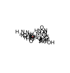 Nc1nc2c(ncn2[C@@H]2S[C@H](CO)[C@@H](O)[C@H]2OP(O)(=S)OCC[C@@]23CO[C@@H]([C@H](n4cnc5c(N)ncnc54)O2)[C@@H]3O)c(=O)[nH]1